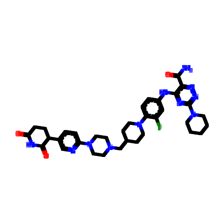 NC(=O)c1nnc(N2CCCCC2)nc1Nc1ccc(N2CCC(CN3CCN(c4ccc(C5CCC(=O)NC5=O)cn4)CC3)CC2)c(F)c1